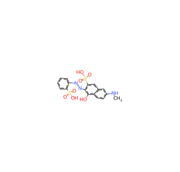 CNc1ccc2c(O)c(N=Nc3ccccc3S(=O)(=O)O)c(S(=O)(=O)O)cc2c1